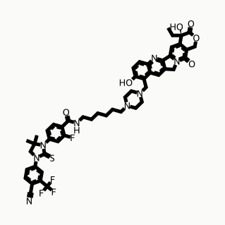 CC[C@@]1(O)C(=O)OCc2c1cc1n(c2=O)Cc2cc3c(CN4CCN(CCCCCCNC(=O)c5ccc(N6C(=S)N(c7ccc(C#N)c(C(F)(F)F)c7)CC6(C)C)cc5F)CC4)c(O)ccc3nc2-1